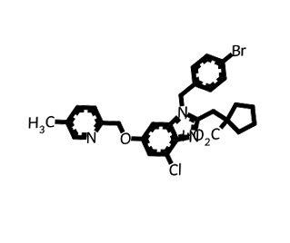 Cc1ccc(COc2cc(Cl)c3nc(CC4(C(=O)O)CCCC4)n(Cc4ccc(Br)cc4)c3c2)nc1